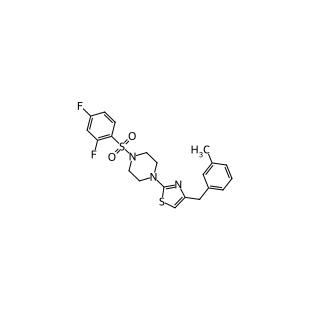 Cc1cccc(Cc2csc(N3CCN(S(=O)(=O)c4ccc(F)cc4F)CC3)n2)c1